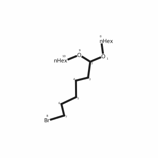 CCCCCCOC(CCCCCBr)OCCCCCC